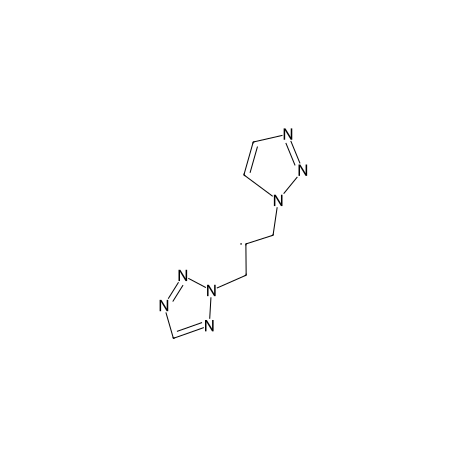 [CH](Cn1ccnn1)Cn1ncnn1